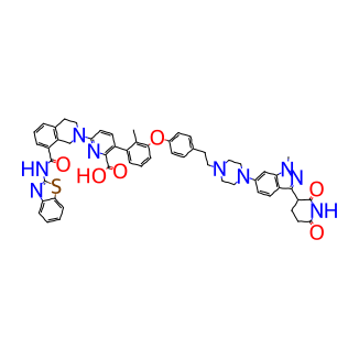 Cc1c(Oc2ccc(CCN3CCN(c4ccc5c(C6CCC(=O)NC6=O)nn(C)c5c4)CC3)cc2)cccc1-c1ccc(N2CCc3cccc(C(=O)Nc4nc5ccccc5s4)c3C2)nc1C(=O)O